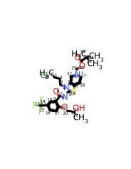 CCCCn1c(=NC(=O)c2cc(C(F)(F)F)ccc2OC[C@H](C)O)sc2cc[n+](COC(=O)C(C)(C)C)cc21.[Cl-]